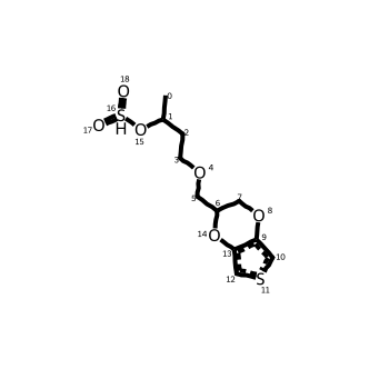 CC(CCOCC1COc2cscc2O1)O[SH](=O)=O